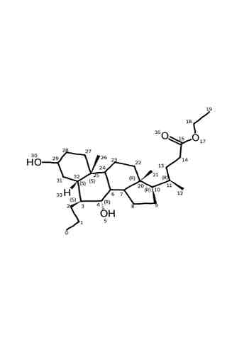 CCC[C@@H]1[C@@H](O)C2C3CC[C@H]([C@H](C)CCC(=O)OCC)[C@@]3(C)CCC2[C@@]2(C)CCC(O)C[C@@H]12